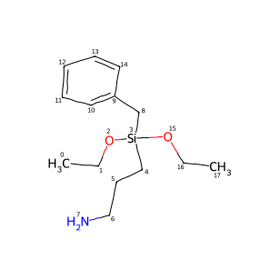 CCO[Si](CCCN)(Cc1ccccc1)OCC